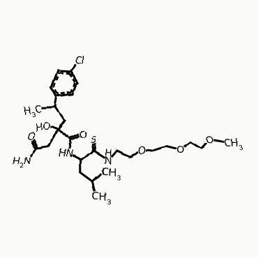 COCCOCCOCCNC(=S)C(CC(C)C)NC(=O)C(O)(CC(N)=O)CC(C)c1ccc(Cl)cc1